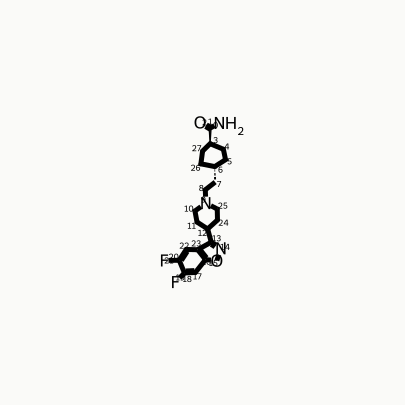 NC(=O)[C@H]1CC[C@H](CCN2CCC(c3noc4cc(F)c(F)cc34)CC2)CC1